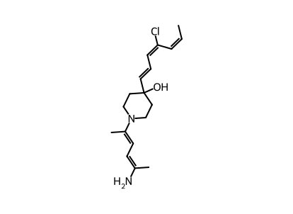 C\C=C/C(Cl)=C\C=C\C1(O)CCN(/C(C)=C/C=C(\C)N)CC1